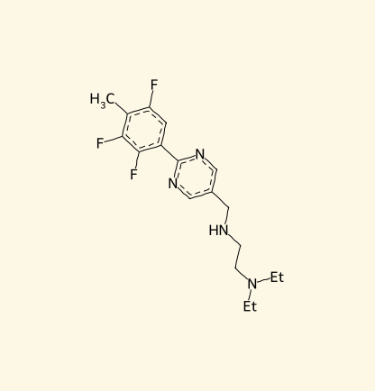 CCN(CC)CCNCc1cnc(-c2cc(F)c(C)c(F)c2F)nc1